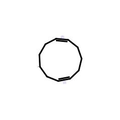 [CH]1C/C=C\CCC/C=C\CC1